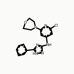 Clc1cc(Nc2n[nH]c(-c3ccccc3)n2)cc(N2CCOCC2)n1